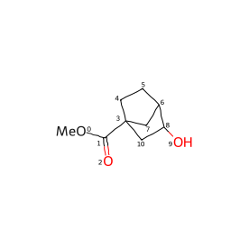 COC(=O)C12CCC(C1)C(O)C2